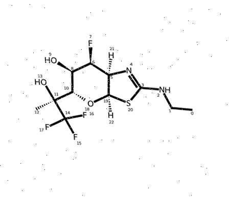 CCNC1=N[C@@H]2[C@H](F)[C@H](O)[C@@H]([C@](C)(O)C(F)(F)F)O[C@@H]2S1